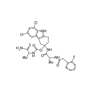 CCC(C)C(NC(=O)Cc1ccccc1F)C(=O)NC1(OC(=O)NC(C(N)=S)C(C)CC)CCc2[nH]c3c(Cl)cc(Cl)cc3c2C1